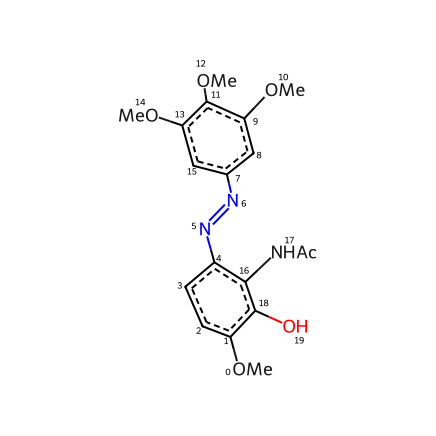 COc1ccc(N=Nc2cc(OC)c(OC)c(OC)c2)c(NC(C)=O)c1O